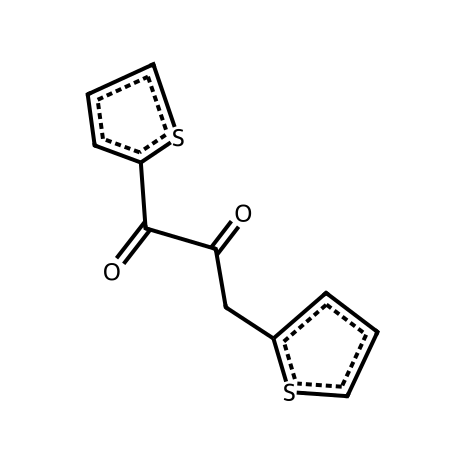 O=C(Cc1cccs1)C(=O)c1cccs1